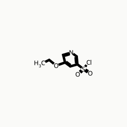 CCOc1cncc(S(=O)(=O)Cl)c1